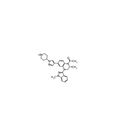 CC(=O)N1c2ccc(-c3cnn(C4CCNCC4)c3)cc2N(c2nn(C)c3ccccc23)C[C@@H]1C